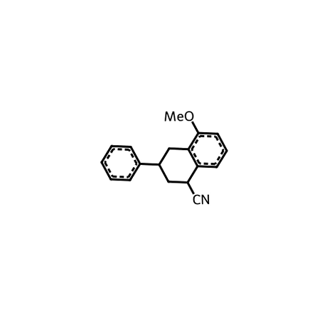 COc1cccc2c1CC(c1ccccc1)CC2C#N